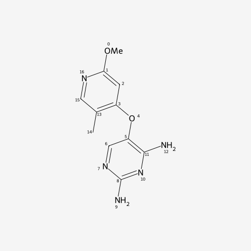 COc1cc(Oc2cnc(N)nc2N)c(C)cn1